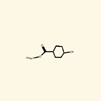 CCCCCCCOC(=O)C1CCC(C#N)CC1